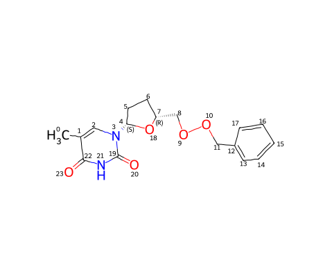 Cc1cn([C@@H]2CC[C@H](COOCc3ccccc3)O2)c(=O)[nH]c1=O